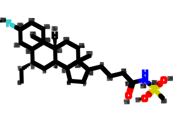 CC[C@H]1CC2C3CCC(CCCC(=O)NS(C)(=O)=O)C3(C)CC[C@@H]2C2(C)CCC(F)CC12